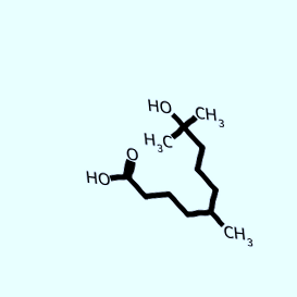 CC(CCCC(=O)O)CCCC(C)(C)O